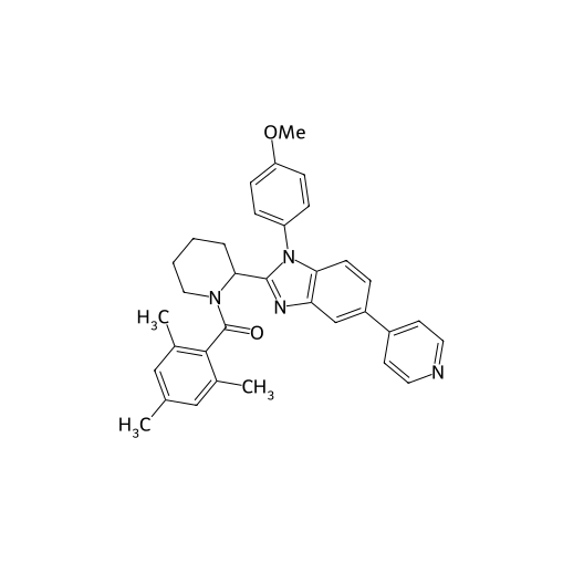 COc1ccc(-n2c(C3CCCCN3C(=O)c3c(C)cc(C)cc3C)nc3cc(-c4ccncc4)ccc32)cc1